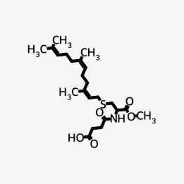 COC(=O)C(CSCC=C(C)CCC=C(C)CCC=C(C)C)NC(=O)CCC(=O)O